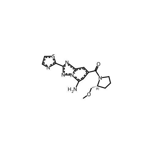 COC[C@H]1CCCN1C(=O)c1cc(N)n2nc(-c3nccs3)nc2c1